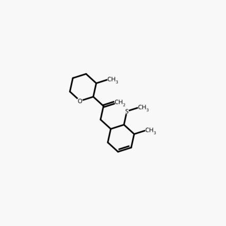 C=C(CC1CC=CC(C)C1SC)C1OCCCC1C